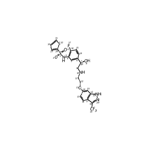 O=S(=O)(Nc1cc([C@@H](O)CNCCOc2ccc3c(C(F)(F)F)n[nH]c3c2)ccc1F)c1cccs1